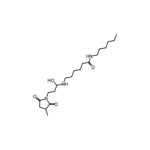 CCCCCCNC(=O)CCCCCNC(O)CCN1C(=O)CC(C)C1=O